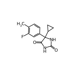 Cc1ccc(C2(C3CC3)NC(=O)NC2=O)cc1F